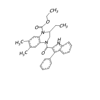 CCOC(=O)N1c2cc(C)c(C)cc2N(C(=O)c2[nH]c3ccccc3c2-c2ccccc2)CC1CC